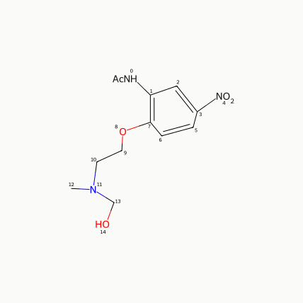 CC(=O)Nc1cc([N+](=O)[O-])ccc1OCCN(C)CO